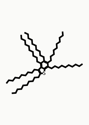 CCCCCCCCCCc1sc2c(CCCCCCCCCC)c(CCCCCCCCCC)c(CCCCCCCCCC)c(CCCCCCCCCC)c2c1CCCCCCCCCC